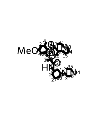 COc1cc(C)c(S(=O)(=O)N2CCn3cccc3C2COC(C)C(=O)NC2CCCC(N3CCN(C)CC3)C2)c(C)c1